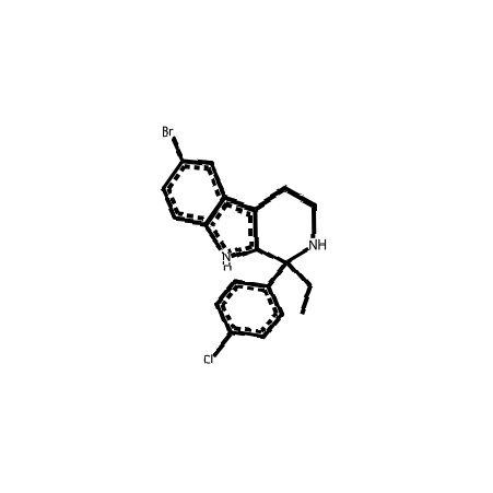 CCC1(c2ccc(Cl)cc2)NCCc2c1[nH]c1ccc(Br)cc21